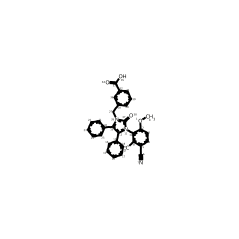 COc1ccc(C#N)c(C)c1-n1c(-c2ccccc2)c(-c2ccccc2)n(Cc2cccc(C(=O)O)c2)c1=O